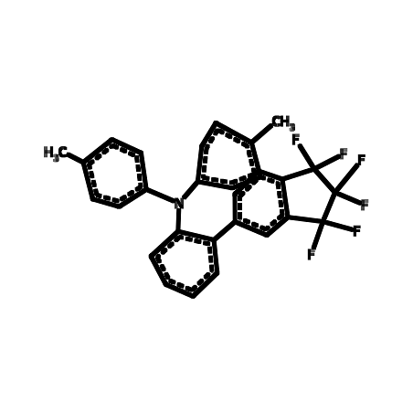 Cc1ccc(N(c2ccc(C)cc2)c2ccccc2-c2ccc3c(c2)C(F)(F)C(F)(F)C3(F)F)cc1